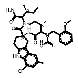 CC[C@H](C)C(NC(=O)[C@@]1(NC(=O)C([C@@H](C)CC)N(Cc2ccccc2OC)C(=O)O)CCc2[nH]c3c(Cl)cc(Cl)cc3c2C1)C(N)=O